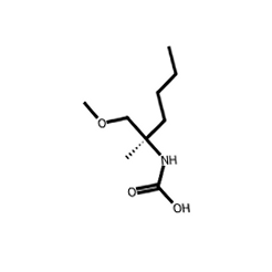 CCCC[C@](C)(COC)NC(=O)O